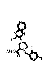 COC(=O)C1CN(c2nc3ccncc3nc2Cl)CCN1Cc1ccc(F)cc1F